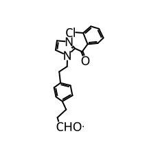 O=[C]CCc1ccc(CCn2ccnc2C(=O)c2ccccc2Cl)cc1